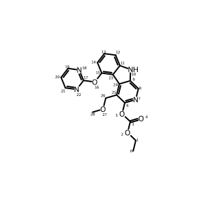 CCOC(=O)Oc1ncc2[nH]c3cccc(Oc4ncccn4)c3c2c1COC